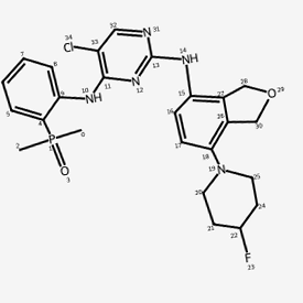 CP(C)(=O)c1ccccc1Nc1nc(Nc2ccc(N3CCC(F)CC3)c3c2COC3)ncc1Cl